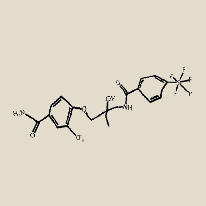 CC(C#N)(COc1ccc(C(N)=O)cc1C(F)(F)F)NC(=O)c1ccc(S(F)(F)(F)(F)F)cc1